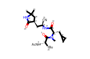 CC(=O)N[C@H](C(=O)N(C)[C@@H](CC1CC1)C(=O)N[C@H](C#N)C[C@@H]1CC(C)(C)NC1=O)C(C)(C)C